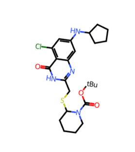 CC(C)(C)OC(=O)N1CCCCC1SCc1nc2cc(NC3CCCC3)cc(Cl)c2c(=O)[nH]1